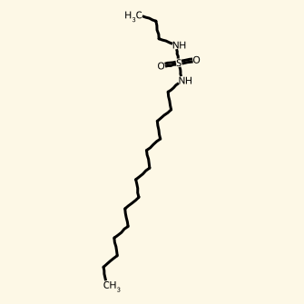 CCCCCCCCCCCCCCNS(=O)(=O)NCCC